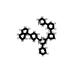 c1ccc(-c2cc(-c3cccc(-c4cccc(-c5cccnc5)c4)c3)nc(-c3ccc(-c4cccc5ccccc45)cc3)n2)cc1